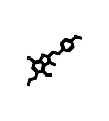 CCCc1cc(Cl)c2oc(CCc3ccc(OC)cc3)c(C)c2c1O